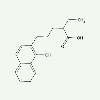 CCC(CCCc1ccc2ccccc2c1O)C(=O)O